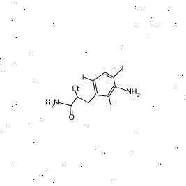 CCC(Cc1c(I)cc(I)c(N)c1I)C(N)=O